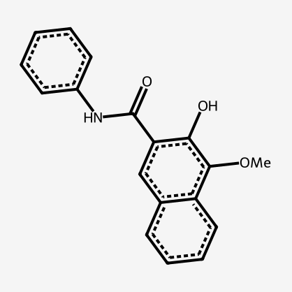 COc1c(O)c(C(=O)Nc2ccccc2)cc2ccccc12